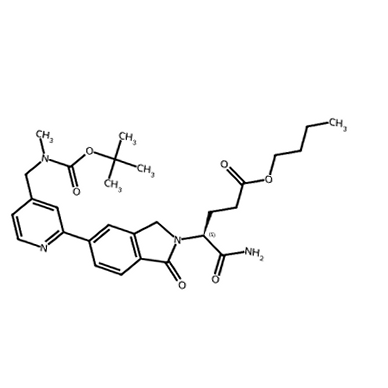 CCCCOC(=O)CC[C@@H](C(N)=O)N1Cc2cc(-c3cc(CN(C)C(=O)OC(C)(C)C)ccn3)ccc2C1=O